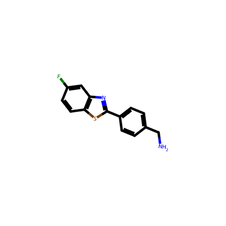 NCc1ccc(-c2nc3cc(F)ccc3s2)cc1